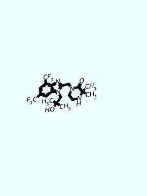 CC(C)(O)Cn1c(CN2CCNC(C)(C)C2=O)nc2c(C(F)(F)F)cc(C(F)(F)F)cc21